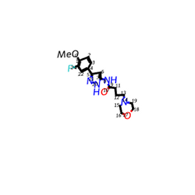 COc1ccc(-c2cc(NC(=O)CCCN3CCOCC3)[nH]n2)cc1F